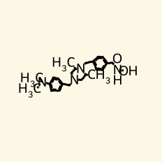 CC1CN(Cc2ccc(N(C)C)cc2)CC(C)N1Cc1ccc(C(=O)NO)cc1